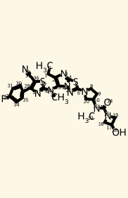 CCc1nc2sc(N3CCC(N(C)C(=O)N4CC(O)C4)C3)nn2c1N(C)c1nc(-c2ccc(F)cc2)c(C#N)s1